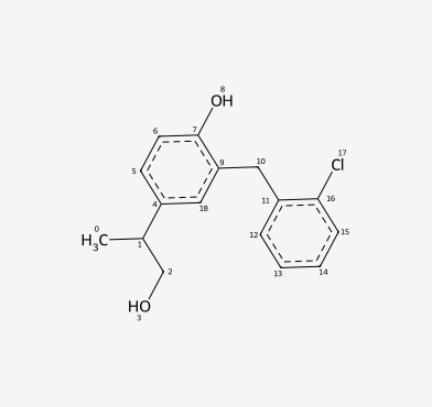 CC(CO)c1ccc(O)c(Cc2ccccc2Cl)c1